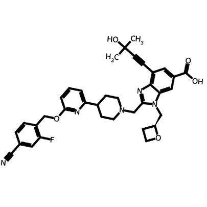 CC(C)(O)C#Cc1cc(C(=O)O)cc2c1nc(CN1CCC(c3cccc(OCc4ccc(C#N)cc4F)n3)CC1)n2C[C@@H]1CCO1